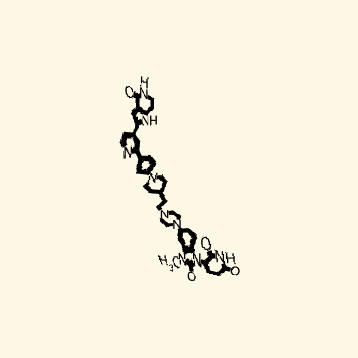 Cn1c(=O)n(C2CCC(=O)NC2=O)c2ccc(N3CCN(CCC4CCN(c5ccc(-c6cc(-c7cc8c([nH]7)CCNC8=O)ccn6)cc5)CC4)CC3)cc21